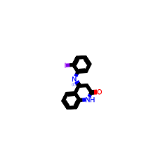 O=C1C/C(=N\c2ccccc2I)c2ccccc2N1